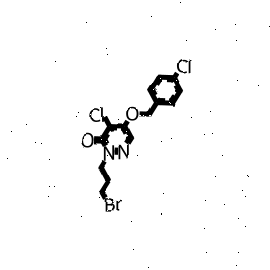 O=c1c(Cl)c(OCc2ccc(Cl)cc2)cnn1CCCBr